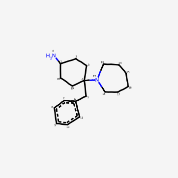 NC1CCC(Cc2ccccc2)(N2CCCCCC2)CC1